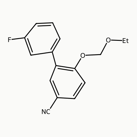 CCOCOc1ccc(C#N)cc1-c1cccc(F)c1